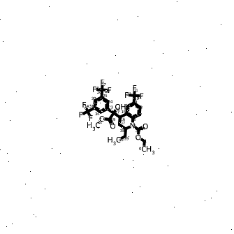 CCOC(=O)N1c2ccc(C(F)(F)F)cc2C(C(O)(C(=O)OC)c2cc(C(F)(F)F)cc(C(F)(F)F)c2)CC1CC